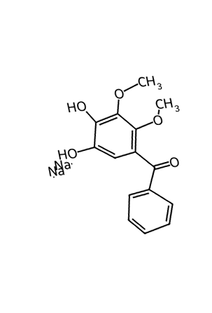 COc1c(C(=O)c2ccccc2)cc(O)c(O)c1OC.[Na].[Na]